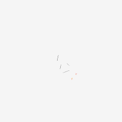 CCOC=Cc1ccc([SH](=O)=O)cc1